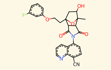 CC12OC(CCOc3cccc(F)c3)(CC1O)C1C(=O)N(c3ccc(C#N)c4ncccc34)C(=O)C12